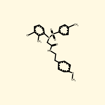 COc1ccc(CCNC(=O)CN(c2cccc(Cl)c2C)S(=O)(=O)c2ccc(C)cc2)cc1